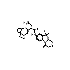 NC[C@@H](C(=O)Nc1ccc(N2CCOCC2=O)c(C(F)(F)F)c1)N(CC1CCC1)CC1CCC1